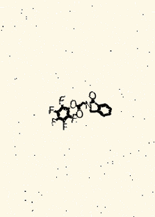 O=C(CN1Cc2ccccc2C1=O)Oc1c(F)c(F)c(F)c(F)c1F